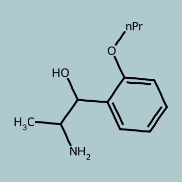 CCCOc1ccccc1C(O)C(C)N